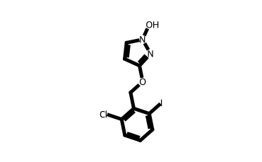 On1ccc(OCc2c(Cl)cccc2I)n1